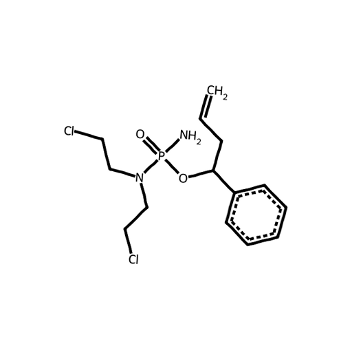 C=CCC(OP(N)(=O)N(CCCl)CCCl)c1ccccc1